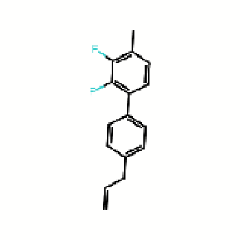 C=CCc1ccc(-c2ccc(C)c(F)c2F)cc1